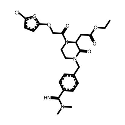 CCOC(=O)CC1C(=O)N(Cc2ccc(C(=N)N(C)C)cc2)CCN1C(=O)COc1ccc(Cl)s1